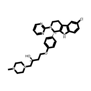 CN1CCN(C[C@@H](O)CCOc2ccc([C@H]3c4[nH]c5ccc(Cl)cc5c4CCN3c3ncccn3)cc2)CC1